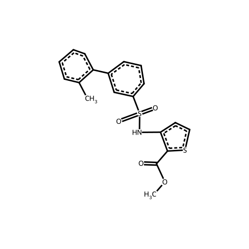 COC(=O)c1sccc1NS(=O)(=O)c1cccc(-c2ccccc2C)c1